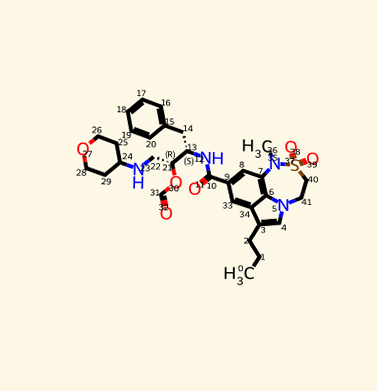 CCCc1cn2c3c(cc(C(=O)N[C@@H](Cc4ccccc4)[C@@H](CNC4CCOCC4)OC=O)cc13)N(C)S(=O)(=O)CC2